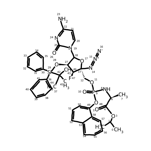 CC(C)OC(=O)[C@H](C)NP(=O)(OC[C@@]1(N=[N+]=[N-])OC(n2ccc(N)nc2=O)[C@H](O[Si](c2ccccc2)(c2ccccc2)C(C)(C)C)[C@@H]1F)Oc1cccc2ccccc12